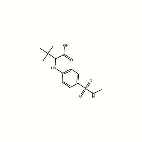 CNS(=O)(=O)c1ccc(NC(C(=O)O)C(C)(C)C)cc1